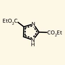 CCOC(=O)c1c[nH]c(C(=O)OCC)n1